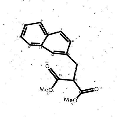 COC(=O)C(Cc1ccc2ccccc2c1)C(=O)OC